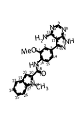 COc1cc(-c2n[nH]c3ncnc(N)c23)ccc1NC(=O)c1cc2ccccc2n1C